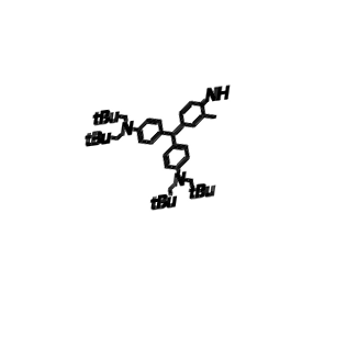 CC1=CC(=C(c2ccc(N(CC(C)(C)C)CC(C)(C)C)cc2)c2ccc(N(CC(C)(C)C)CC(C)(C)C)cc2)C=CC1=N